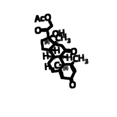 CC(=O)OCC(=O)[C@@]1(O)CC[C@H]2[C@@H]3CCC4=CC(=O)C=C(C)[C@]4(C)[C@H]3C(=O)C[C@@]21C